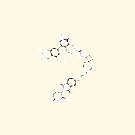 COc1cc(-c2cn(C)c(=O)c3c2CCN(C(=O)NC2CCC24CCN(CCOc2ccc5c(c2)C(=O)N(C2CCC(=O)NC2=O)C5=O)CC4)C3)cc(OC)c1CN(C)C